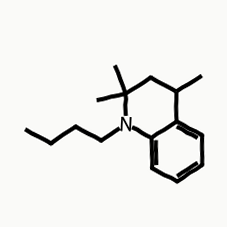 CCCCN1c2ccccc2C(C)CC1(C)C